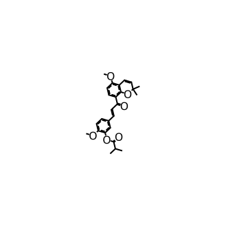 COc1ccc(C=CC(=O)c2ccc(OC)c3c2OC(C)(C)C=C3)cc1OC(=O)C(C)C